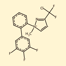 C[N+]1(c2ccccc2-c2cc(F)c(F)c(F)c2)C=[C]C(C(F)(F)Cl)=N1